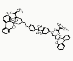 C=C(C)C(=O)CC(COc1ccc(C(C)(C)c2ccc(OCC(CP3(=O)Oc4ccccc4-c4ccccc43)OC(=O)C(=C)C)cc2)cc1)CP1(=O)Oc2ccccc2-c2ccccc21